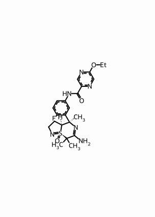 CCOc1cnc(C(=O)Nc2ccc(F)c([C@@]3(C)N=C(N)C(C)(C)[S@@]4(=O)=NCC[C@@H]34)c2)cn1